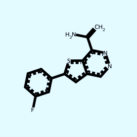 C=C(N)c1nncc2cc(-c3cccc(F)c3)sc12